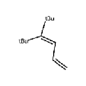 C=CC=C(C(C)(C)C)C(C)(C)C